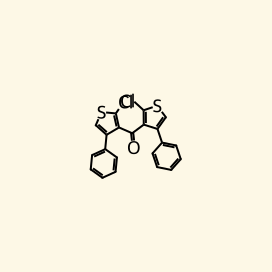 O=C(c1c(-c2ccccc2)csc1Cl)c1c(-c2ccccc2)csc1Cl